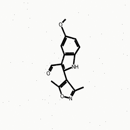 COc1ccc2[nH]c(-c3c(C)noc3C)c(C=O)c2c1